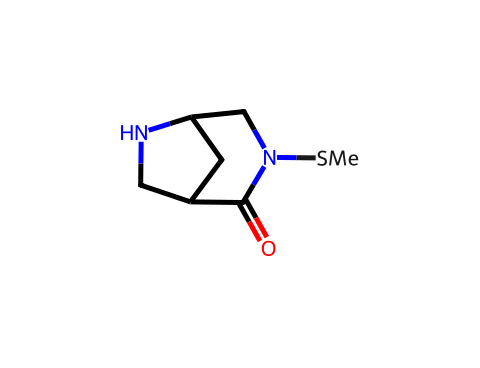 CSN1CC2CC(CN2)C1=O